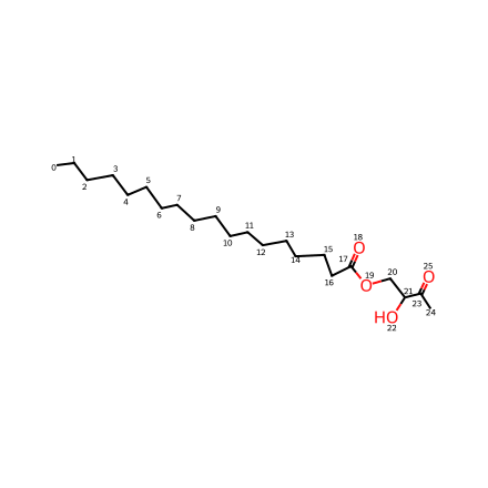 CCCCCCCCCCCCCCCCCC(=O)OCC(O)C(C)=O